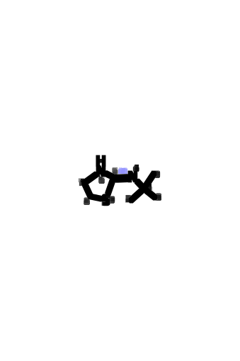 CC(C)(C)/N=C1/NCCS1